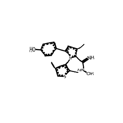 Cc1csc(C)c1-n1c(-c2ccc(O)cc2)cc(C)c1C(=N)NO